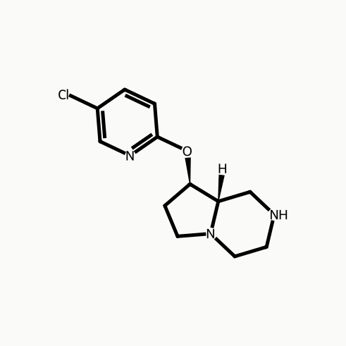 Clc1ccc(O[C@@H]2CCN3CCNC[C@@H]23)nc1